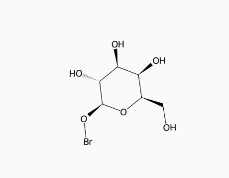 OC[C@H]1O[C@@H](OBr)[C@H](O)[C@@H](O)[C@H]1O